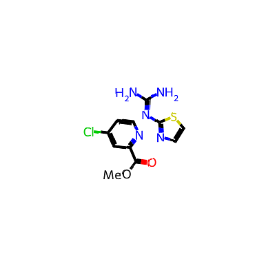 COC(=O)c1cc(Cl)ccn1.NC(N)=Nc1nccs1